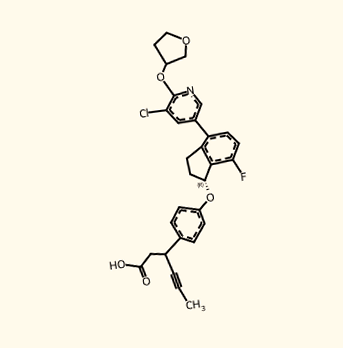 CC#CC(CC(=O)O)c1ccc(O[C@@H]2CCc3c(-c4cnc(OC5CCOC5)c(Cl)c4)ccc(F)c32)cc1